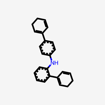 C1=CC(c2ccc(Nc3ccccc3C3=CCCC=C3)cc2)=CCC1